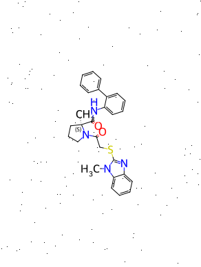 Cn1c(SCC(=O)N2CCC[C@@]2(C)C(=O)Nc2ccccc2-c2ccccc2)nc2ccccc21